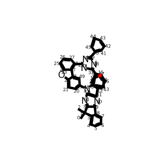 CC1(C)c2ccccc2-c2nc3c4ccccc4n(-c4ccc5oc6cccc(-c7nc(-c8ccccc8)nc(-c8ccccc8)n7)c6c5c4)c3nc21